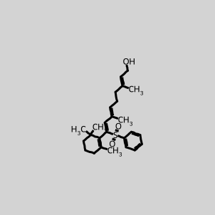 CC1=C(/C(=C/C(C)=C/CC/C(C)=C/CO)S(=O)(=O)c2ccccc2)C(C)(C)CCC1